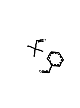 CC(C)(C)C=O.O=Cc1ccccc1